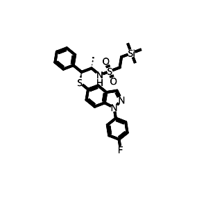 C[C@H](NS(=O)(=O)CC[Si](C)(C)C)[C@H](Sc1ccc2c(cnn2-c2ccc(F)cc2)c1)c1ccccc1